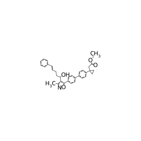 CCOC(=O)CC1(c2ccc(-c3ccc(-c4onc(C)c4C(O)CC/C=C/c4ccccc4)cc3)cc2)CC1